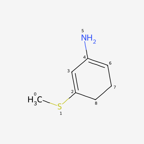 CSC1=CC(N)=CCC1